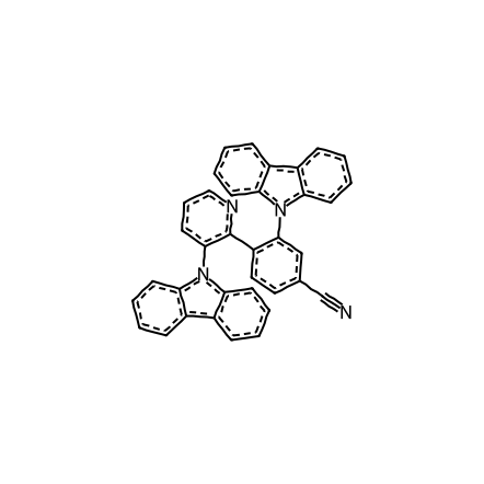 N#Cc1ccc(-c2ncccc2-n2c3ccccc3c3ccccc32)c(-n2c3ccccc3c3ccccc32)c1